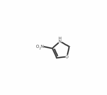 O=[N+]([O-])C1=CO[CH]N1